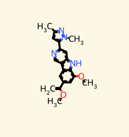 C=C(OC)c1cc(OC)c2[nH]c3cc(-c4cc(C)nn4C)ncc3c2c1